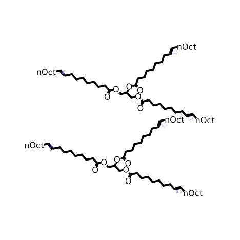 CCCCCCCC/C=C/CCCCCCCC(=O)OCC(COC(=O)CCCCCCC/C=C/CCCCCCCC)OC(=O)CCCCCCC/C=C/CCCCCCCC.CCCCCCCC/C=C/CCCCCCCC(=O)OCC(COC(=O)CCCCCCC/C=C/CCCCCCCC)OC(=O)CCCCCCC/C=C/CCCCCCCC